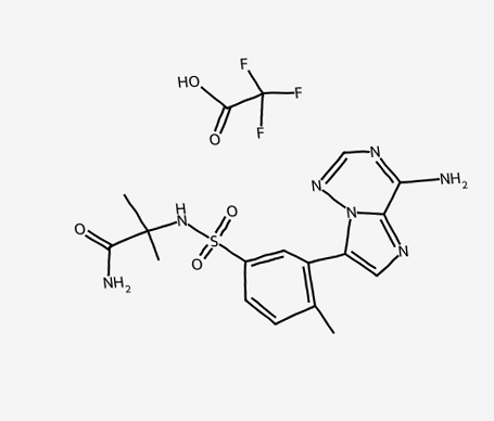 Cc1ccc(S(=O)(=O)NC(C)(C)C(N)=O)cc1-c1cnc2c(N)ncnn12.O=C(O)C(F)(F)F